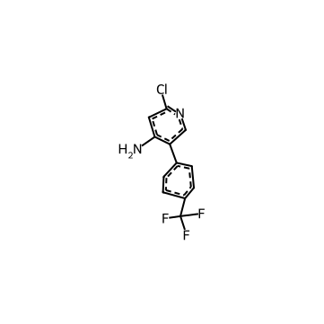 Nc1cc(Cl)ncc1-c1ccc(C(F)(F)F)cc1